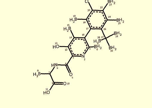 Bc1nc(C(=O)NC(B)C(=O)O)c(O)c(B)c1-c1c(B)c(Cl)c(B)c(B)c1C(B)(B)B